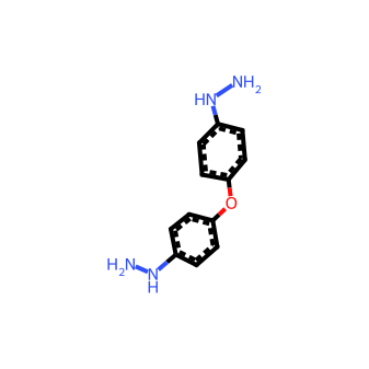 NNc1ccc(Oc2ccc(NN)cc2)cc1